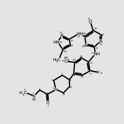 CNCC(=O)N1CCC(c2cc(F)c(Nc3ncc(Cl)c(Nc4cc(C)[nH]n4)n3)cc2C)CC1